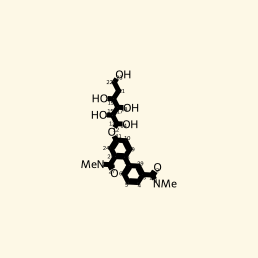 CNC(=O)c1cccc(-c2ccc(OC(O)C(O)C(O)C(O)CCO)cc2C(=O)NC)c1